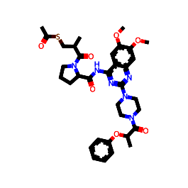 COc1cc2nc(N3CCN(C(=O)C(C)Oc4ccccc4)CC3)nc(NC(=O)C3CCCN3C(=O)C(C)CSC(C)=O)c2cc1OC